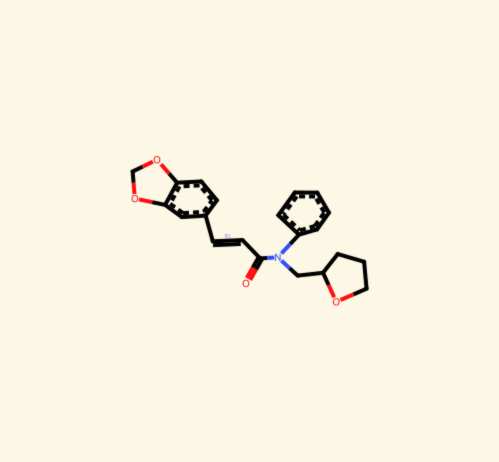 O=C(/C=C/c1ccc2c(c1)OCO2)N(CC1CCCO1)c1ccccc1